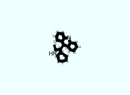 Cc1[nH]c2ccccc2c1-c1c2ccccc2nc2ccccc12